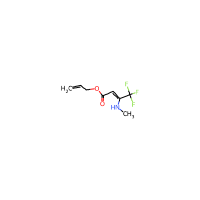 C=CCOC(=O)C=C(NC)C(F)(F)F